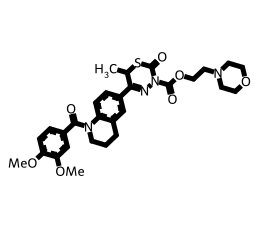 COc1ccc(C(=O)N2CCCc3cc(C4=NN(C(=O)OCCN5CCOCC5)C(=O)SC4C)ccc32)cc1OC